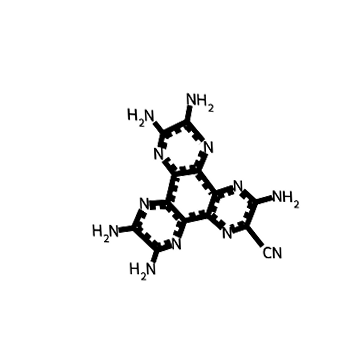 N#Cc1nc2c3nc(N)c(N)nc3c3nc(N)c(N)nc3c2nc1N